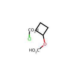 O=C(O)Cl.O=C(O)OC1CCC1